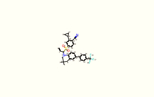 C=CC(N1CC(C)(C)Cc2cc(-c3ccc(C(F)(F)F)cc3)ccc21)S(=O)(=O)c1ccc(C#N)c(C2CC2)c1